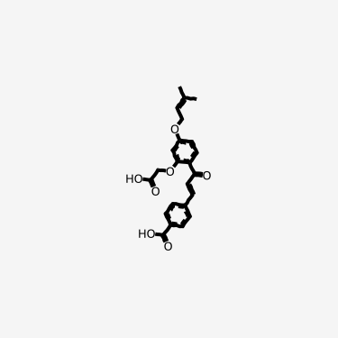 CC(C)=CCOc1ccc(C(=O)C=Cc2ccc(C(=O)O)cc2)c(OCC(=O)O)c1